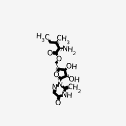 C=C1NC(=O)C=NN1[C@@H]1O[C@H](COC(=O)[C@H](N)[C@@H](C)CC)C(O)[C@@H]1O